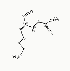 NCCCC[C@@H]([C]=O)NCC(=O)O